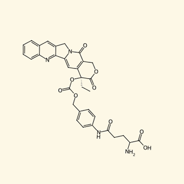 CC[C@@]1(OC(=O)OCc2ccc(NC(=O)CCC(N)C(=O)O)cc2)C(=O)OCc2c1cc1n(c2=O)Cc2cc3ccccc3nc2-1